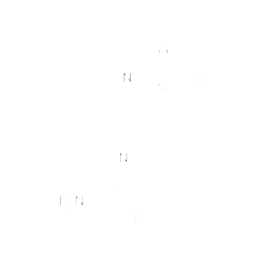 CN1c2ccccc2N(C(N)=O)c2ccccc2S1(=O)=O